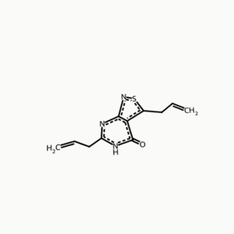 C=CCc1nc2nsc(CC=C)c2c(=O)[nH]1